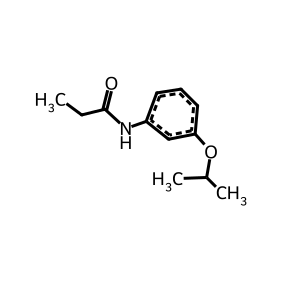 CCC(=O)Nc1cccc(OC(C)C)c1